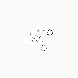 CC(C)(C)C1(C(=O)O)CCCN(C(=O)OCc2ccccc2)N1C(=O)OCc1ccccc1